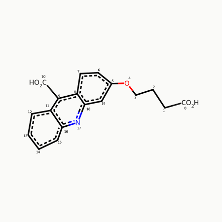 O=C(O)CCCOc1ccc2c(C(=O)O)c3ccccc3nc2c1